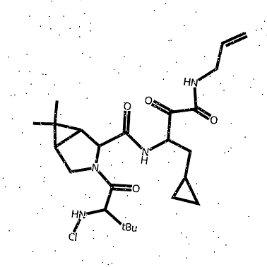 C=CCNC(=O)C(=O)C(CC1CC1)NC(=O)C1C2C(CN1C(=O)C(NCl)C(C)(C)C)C2(C)C